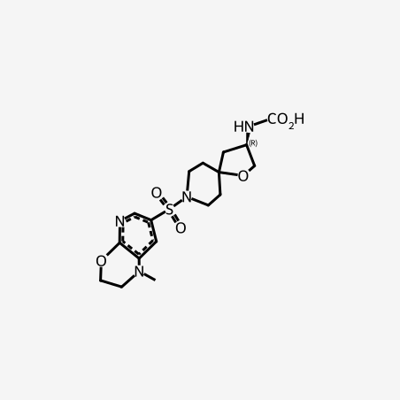 CN1CCOc2ncc(S(=O)(=O)N3CCC4(CC3)C[C@@H](NC(=O)O)CO4)cc21